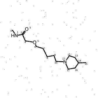 CNC(=O)COCCCCCN1CCC(C)CC1